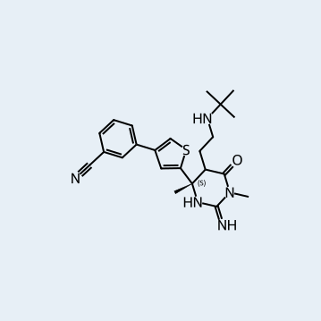 CN1C(=N)N[C@](C)(c2cc(-c3cccc(C#N)c3)cs2)C(CCNC(C)(C)C)C1=O